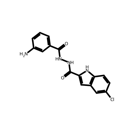 Nc1cccc(C(=O)NNC(=O)c2cc3cc(Cl)ccc3[nH]2)c1